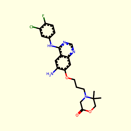 CC1(C)COC(=O)CN1CCCOc1cc2ncnc(Nc3ccc(F)c(Cl)c3)c2cc1N